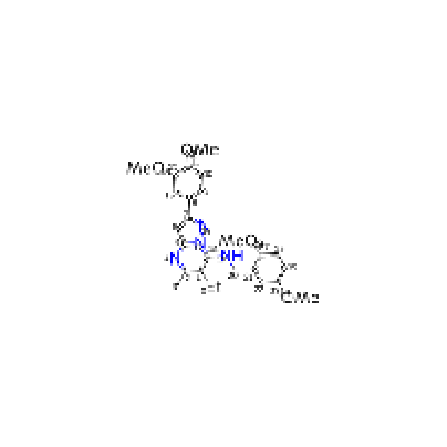 CCc1c(C)nc2cc(-c3ccc(OC)c(OC)c3)nn2c1NCc1cc(OC)ccc1OC